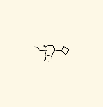 CCC(NN(C)NSC)C1CCC1